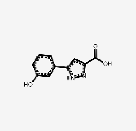 O=C(O)c1cc(-c2cccc(O)c2)[nH]n1